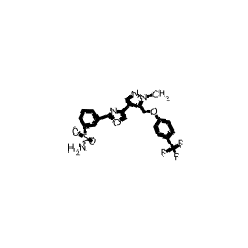 Cn1ncc(-c2coc(-c3cccc(S(N)(=O)=O)c3)n2)c1COc1ccc(C(F)(F)F)cc1